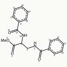 COC(=O)C(CNC(=O)c1ccccc1)NC(=O)c1ccccc1